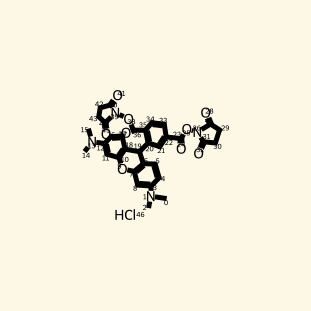 CN(C)c1ccc2c(c1)Oc1cc(N(C)C)ccc1C2c1cc(C(=O)ON2C(=O)CCC2=O)ccc1C(=O)ON1C(=O)CCC1=O.Cl